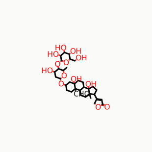 CC1OC(OC2CCC3(C=O)C4CCC5(C)C(C6=CC(=O)OC6)CCC5(O)C4CCC3(O)C2)CC(O)C1OC1OC(CO)C(O)C(O)C1O